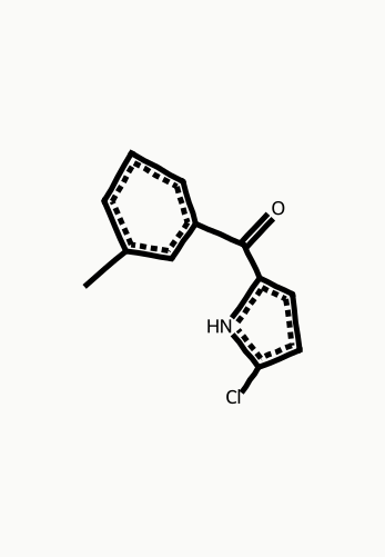 Cc1cccc(C(=O)c2ccc(Cl)[nH]2)c1